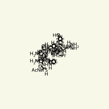 CC(=O)N[C@H](CS)C(=O)N[C@@H](CC(N)=O)C(=O)N[C@@H](Cc1c[nH]c2ccccc12)C(=O)N[C@@H](CC(N)=O)C(=O)N[C@@H](CO)C(=O)N[C@@H](Cc1ccccc1)C(=O)N[C@H](CS)C(=O)N[C@@H](CC(C)C)C(=O)N[C@@H](CCCNC(=N)N)C(=O)N[C@@H](Cc1ccc(O)cc1)C(N)=O